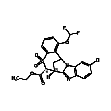 CCOC(=O)[C@H]1[C@@H]2CC(c3c(OC(F)F)cccc3S1(=O)=O)n1c2nc2ccc(Cl)cc21